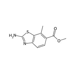 COC(=O)c1ccc2nc(N)sc2c1C